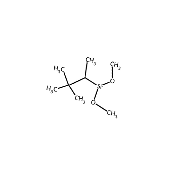 CO[Si](OC)C(C)C(C)(C)C